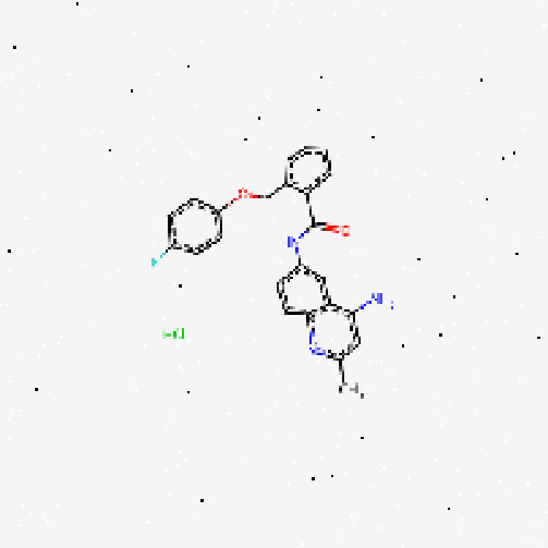 Cc1cc(N)c2cc(NC(=O)c3ccccc3COc3ccc(F)cc3)ccc2n1.Cl